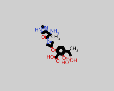 C[C@H]1C[B-](O)(O)Oc2c1ccc(OC1CN(C(=O)C(C)(N)c3c[nH]cn3)C1)c2C(=O)O